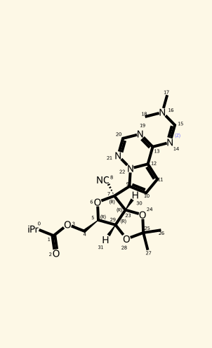 CC(C)C(=O)OC[C@H]1O[C@@](C#N)(c2ccc3c(/N=C\N(C)C)ncnn23)[C@@H]2OC(C)(C)O[C@@H]21